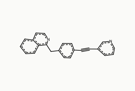 C(#Cc1cccnc1)c1ccc(Cc2nccc3ccccc23)cc1